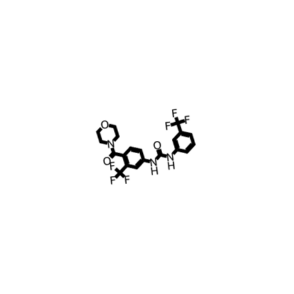 O=C(Nc1cccc(C(F)(F)F)c1)Nc1ccc(C(=O)N2CCOCC2)c(C(F)(F)F)c1